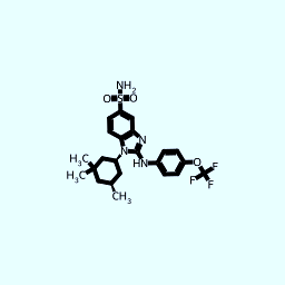 C[C@@H]1C[C@H](n2c(Nc3ccc(OC(F)(F)F)cc3)nc3cc(S(N)(=O)=O)ccc32)CC(C)(C)C1